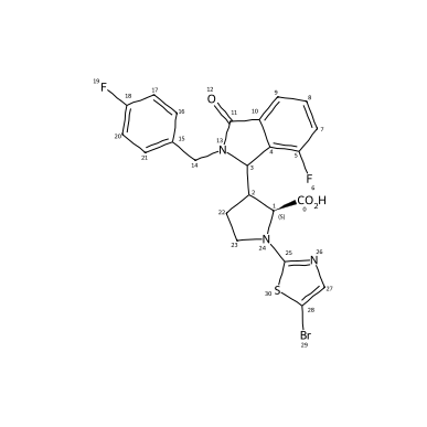 O=C(O)[C@@H]1C(C2c3c(F)cccc3C(=O)N2Cc2ccc(F)cc2)CCN1c1ncc(Br)s1